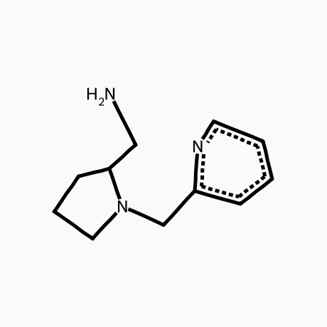 NCC1CCCN1Cc1ccccn1